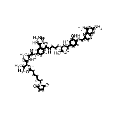 CC(C)[C@H](NC(=O)CCCCCN1C(=O)C=CC1=O)C(=O)N[C@@H](C)C(=O)Nc1ccc(C(=O)NCCC[C@H](NC(=O)c2ccc(NCc3cnc4nc(N)nc(N)c4n3)c(O)c2)C(=O)O)c(C(=N)/N=N\N)c1